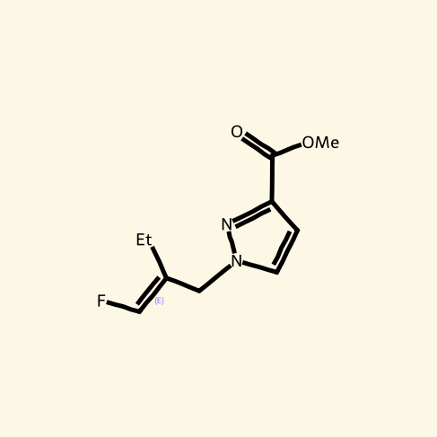 CC/C(=C\F)Cn1ccc(C(=O)OC)n1